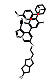 COc1ccc(CN2C3CC2CN(c2nc(C)c(-c4cc(OCCN5CC6CC(O)CC6C5)cn5ncc(C#N)c45)cc2F)C3)cn1